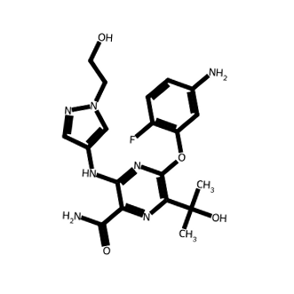 CC(C)(O)c1nc(C(N)=O)c(Nc2cnn(CCO)c2)nc1Oc1cc(N)ccc1F